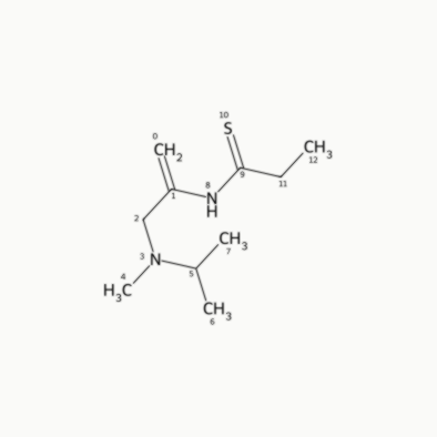 C=C(CN(C)C(C)C)NC(=S)CC